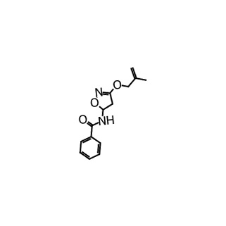 C=C(C)COC1=NOC(NC(=O)c2ccccc2)C1